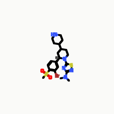 CN(C)c1nsc(N2CCC(C3CCNCC3)C[C@@H]2c2ccc(S(C)(=O)=O)c(Br)c2)n1